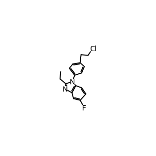 CCc1nc2cc(F)ccc2n1-c1ccc(CCCl)cc1